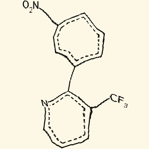 O=[N+]([O-])c1cccc(-c2ncccc2C(F)(F)F)c1